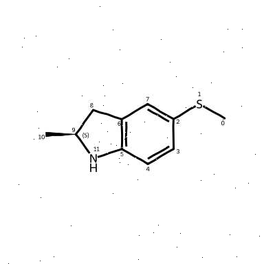 CSc1ccc2c(c1)C[C@H](C)N2